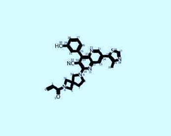 C=CC(=O)N1CC2(CCN(c3nc4cc(-c5scnc5C)cnc4c(-c4cccc(O)c4)c3C#N)C2)C1